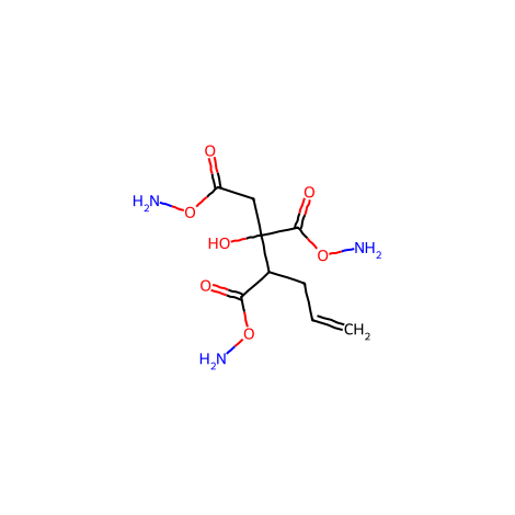 C=CCC(C(=O)ON)C(O)(CC(=O)ON)C(=O)ON